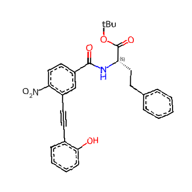 CC(C)(C)OC(=O)[C@H](CCc1ccccc1)NC(=O)c1ccc([N+](=O)[O-])c(C#Cc2ccccc2O)c1